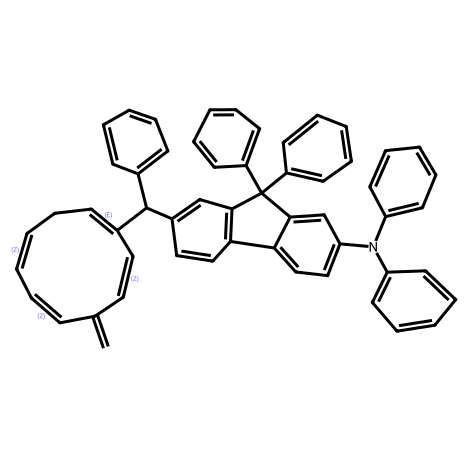 C=C1/C=C\C=C/C/C=C(C(c2ccccc2)c2ccc3c(c2)C(c2ccccc2)(c2ccccc2)c2cc(N(c4ccccc4)c4ccccc4)ccc2-3)\C=C/1